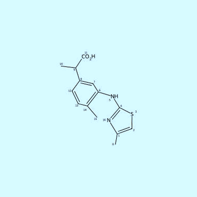 Cc1csc(Nc2cc(C(C)C(=O)O)ccc2C)n1